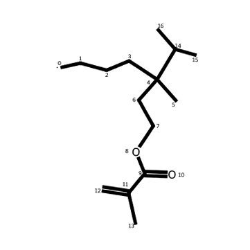 [CH2]CCCC(C)(CCOC(=O)C(=C)C)[C](C)C